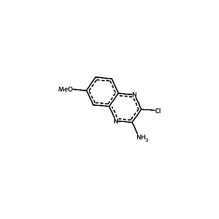 COc1ccc2nc(Cl)c(N)nc2c1